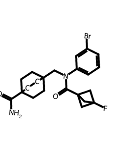 NC(=O)C12CCC(CN(C(=O)C34CC(F)(C3)C4)c3cccc(Br)c3)(CC1)CC2